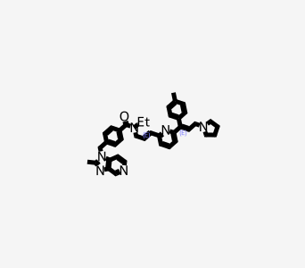 CCN(C/C=C/c1cccc(/C(=C/CN2CCCC2)c2ccc(C)cc2)n1)C(=O)c1ccc(Cn2c(C)nc3cnccc32)cc1